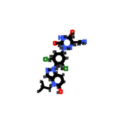 CC(C)Cn1c(=O)ccc2c1cnn2-c1c(Cl)cc(-n2nc(C#N)c(=O)[nH]c2=O)cc1Cl